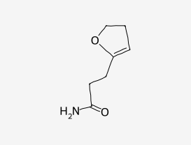 NC(=O)CCC1=CCCO1